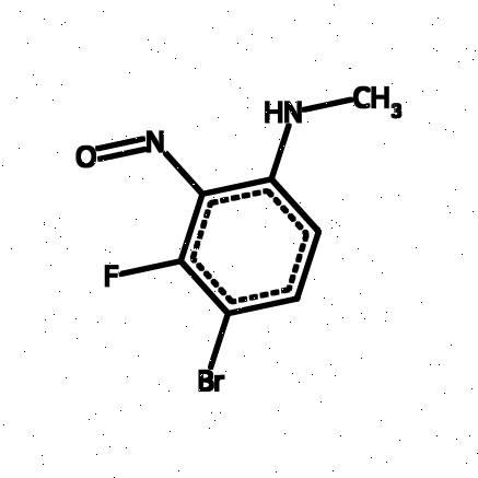 CNc1ccc(Br)c(F)c1N=O